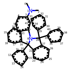 CN(C)c1cccc(N2C(c3ccccc3)(c3ccccc3)c3ccccc3C2(c2ccccc2)c2ccccc2)c1